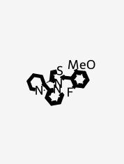 COc1cccc(F)c1-c1nc([C@@]2(c3ccccn3)CCCC[N]2)cs1